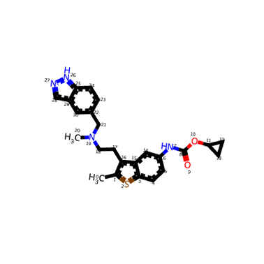 Cc1sc2ccc(NC(=O)OC3CC3)cc2c1CCN(C)Cc1ccc2[nH]ncc2c1